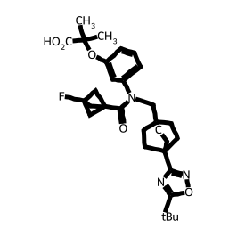 CC(C)(Oc1cccc(N(CC23CCC(c4noc(C(C)(C)C)n4)(CC2)CC3)C(=O)C23CC(F)(C2)C3)c1)C(=O)O